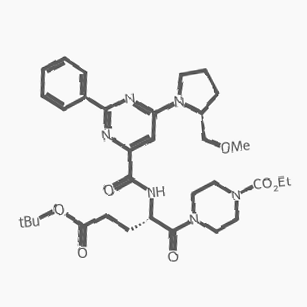 CCOC(=O)N1CCN(C(=O)[C@H](CCC(=O)OC(C)(C)C)NC(=O)c2cc(N3CCC[C@H]3COC)nc(-c3ccccc3)n2)CC1